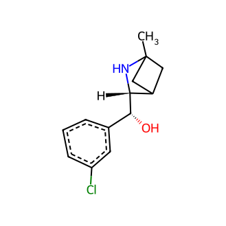 CC12CC(C1)[C@H]([C@H](O)c1cccc(Cl)c1)N2